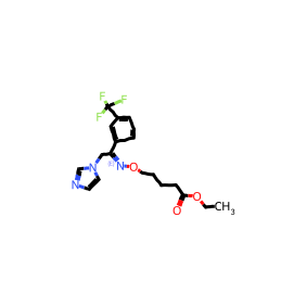 CCOC(=O)CCCCO/N=C(/Cn1ccnc1)c1cccc(C(F)(F)F)c1